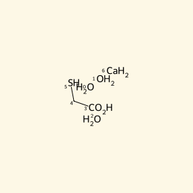 O.O.O.O=C(O)CS.[CaH2]